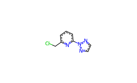 ClCc1cccc(-n2nccn2)n1